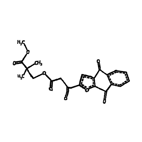 COC(=O)C(C)(C)COC(=O)CC(=O)c1cc2c(o1)C(=O)c1ccccc1C2=O